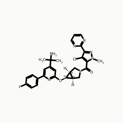 Cn1nc(-c2ncccn2)c(Cl)c1C(=O)N1C[C@@H]2[C@H](C1)[C@@H]2Oc1cc(C(C)(C)N)cc(-c2ccc(F)cc2)n1